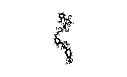 CCc1ccccc1N1C(=O)CSC1=NC(=O)NCCCCc1cccc(-c2ncn(-c3ccc(OC(F)(F)F)cc3)n2)c1